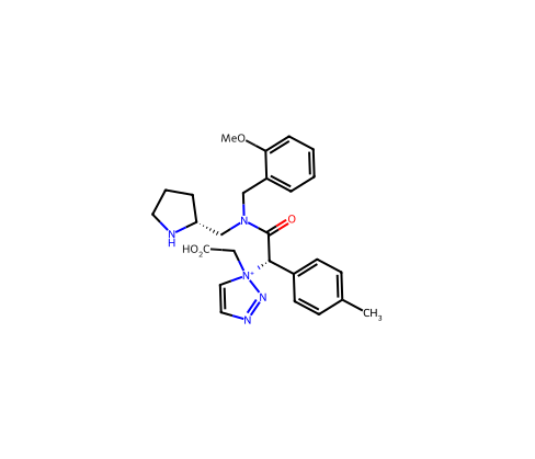 COc1ccccc1CN(C[C@H]1CCCN1)C(=O)[C@H](c1ccc(C)cc1)[N+]1(CC(=O)O)C=CN=N1